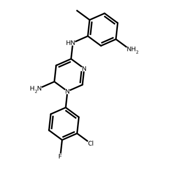 Cc1ccc(N)cc1NC1=CC(N)N(c2ccc(F)c(Cl)c2)C=N1